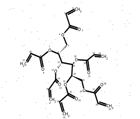 C=CC(=O)OC[C@@H](OC(=O)C=C)[C@@H](OC(=O)C=C)[C@H](OC(=O)C=C)[C@@H](COC(=O)C=C)OC(=O)C=C